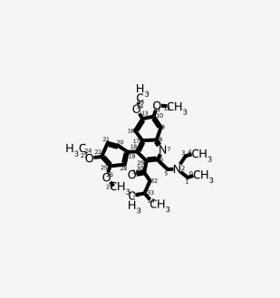 CCN(CC)Cc1nc2cc(OC)c(OC)cc2c(-c2ccc(OC)c(OC)c2)c1C(=O)CC(C)C